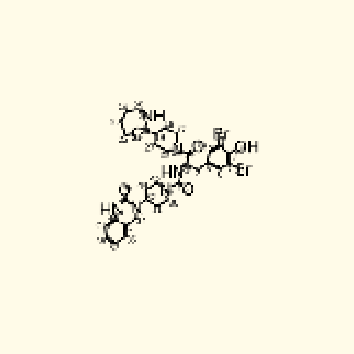 O=C(N[C@H](Cc1cc(Br)c(O)c(Br)c1)C(=O)N1CCC(C2CCCCCN2)CC1)N1CCC(N2Cc3ccccc3NC2=O)CC1